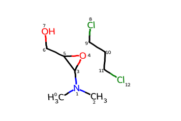 CN(C)C1OC1CO.ClCCCCl